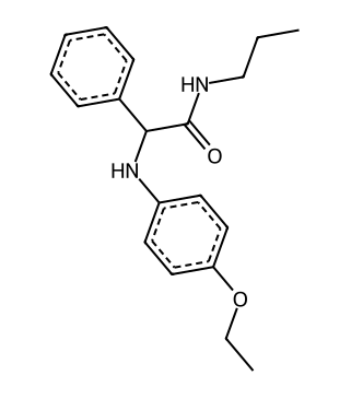 CCCNC(=O)C(Nc1ccc(OCC)cc1)c1ccccc1